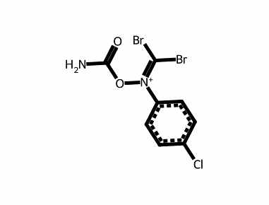 NC(=O)O[N+](=C(Br)Br)c1ccc(Cl)cc1